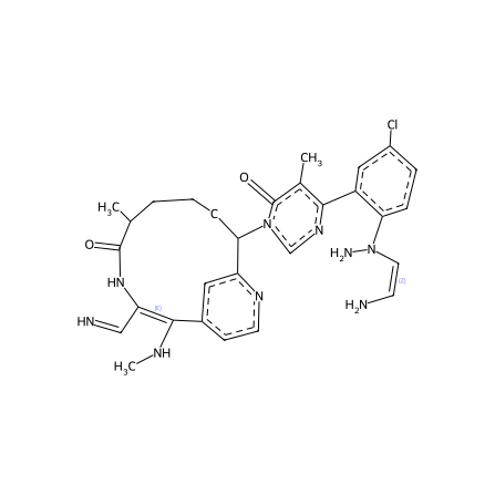 CN/C1=C(\C=N)NC(=O)C(C)CCCC(n2cnc(-c3cc(Cl)ccc3N(N)/C=C\N)c(C)c2=O)c2cc1ccn2